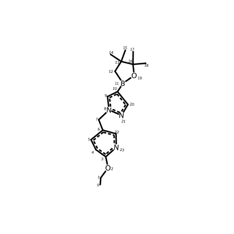 CCOc1ccc(Cn2cc(B3CC(C)(C)C(C)(C)O3)cn2)cn1